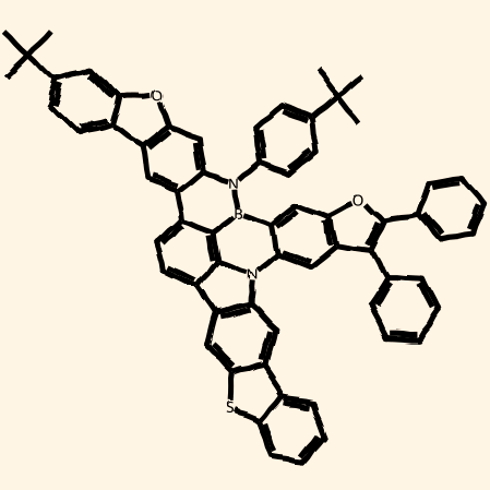 CC(C)(C)c1ccc(N2B3c4cc5oc(-c6ccccc6)c(-c6ccccc6)c5cc4-n4c5cc6c(cc5c5ccc(c3c54)-c3cc4c(cc32)oc2cc(C(C)(C)C)ccc24)sc2ccccc26)cc1